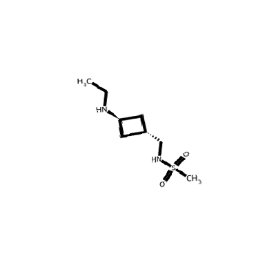 CCN[C@H]1C[C@H](CNS(C)(=O)=O)C1